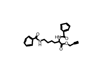 C#CCOC(=O)C(CCCCNC(=O)c1ccccc1)NC(=O)c1ccccc1